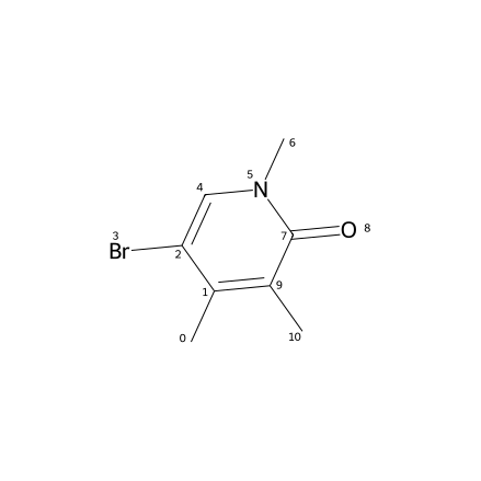 Cc1c(Br)cn(C)c(=O)c1C